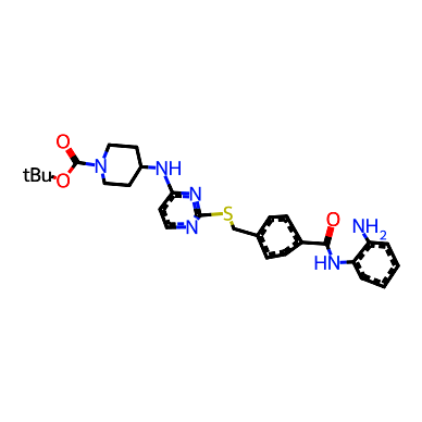 CC(C)(C)OC(=O)N1CCC(Nc2ccnc(SCc3ccc(C(=O)Nc4ccccc4N)cc3)n2)CC1